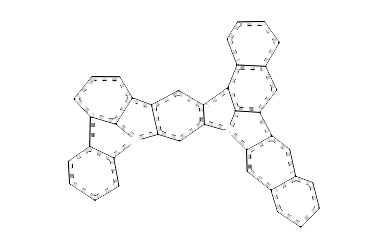 c1ccc2cc3c(cc2c1)c1cc2ccccc2c2c4cc5c6cccc7c8ccccc8n(c5cc4n3c12)c76